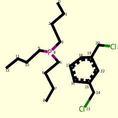 CCCCP(CCCC)CCCC.ClCc1cccc(CCl)c1